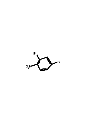 CC(C)c1ccc([N+](=O)[O-])c(C(C)C)c1